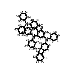 c1ccc(N(c2ccc3c(c2)oc2ccccc23)c2cc(N(c3ccccc3)c3ccccc3)c3c(c2)sc2ccc(N(c4ccccc4)c4ccccc4)cc23)cc1